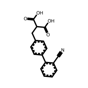 N#Cc1ccccc1-c1ccc(CC(C(=O)O)C(=O)O)cc1